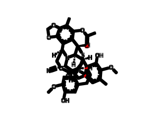 COc1cc2c(cc1O)CCN[C@]21CS[C@H]2c3c(OC(C)=O)c(C)c4c(c3[C@H](COC1=O)N1[C@@H]2[C@H]2c3c(cc(C)c(OC)c3O)C[C@H]([C@@H]1C#N)N2C)OCO4